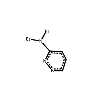 CCN(CC)c1cccbn1